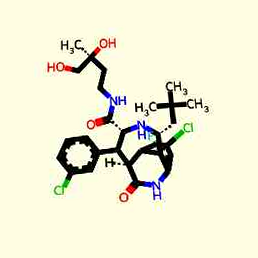 CC(C)(C)C[C@H]1N[C@@H](C(=O)NCC[C@](C)(O)CO)C(c2cccc(Cl)c2)[C@@H]2C(=O)NC3=CC(Cl)=C(F)C2C31